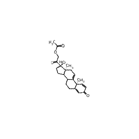 CC(=O)OCC(=O)[C@@]1(O)CCC2C3CCC4=CC(=O)C=C[C@]4(C)C3=CC[C@@]21C